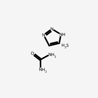 NC(N)=O.S.c1c[nH]nn1